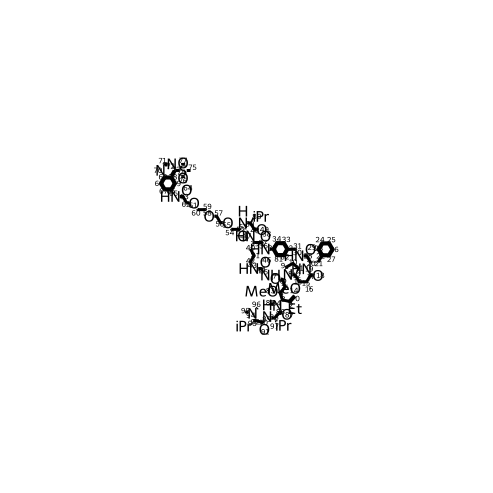 C=C(CC)[C@@H]([C@@H](CC(=O)N1CCC[C@H]1[C@H](OC)[C@@H](C)C(=O)N[C@@H](Cc1ccccc1)C(=O)NCc1ccc(NC(=O)[C@H](CCCNC(N)=O)NC(=O)[C@@H](NC(=O)COCCOCCOCC(=O)Nc2ccc3ncnc(S(C)(=O)=O)c3c2)C(C)C)cc1)OC)N(C)C(=O)[C@@H](NC(=O)[C@H](C(C)C)N(C)C)C(C)C